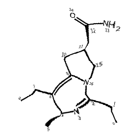 CCC1=N[C@@H](C)C(CC)=C2C[C@@H](C(N)=O)CN12